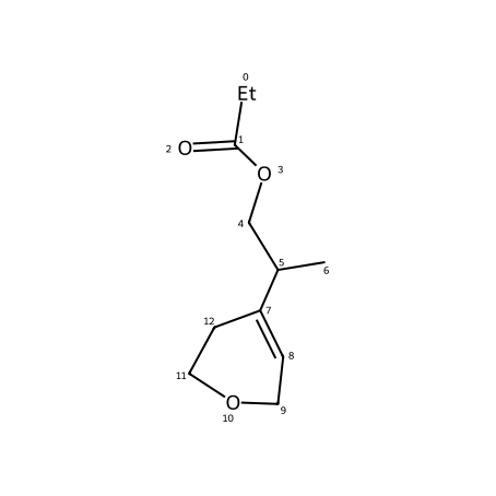 CCC(=O)OCC(C)C1=CCOCC1